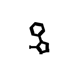 Ic1nncn1-c1ccccc1